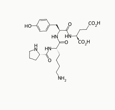 NCCCC[C@H](NC(=O)[C@@H]1CCCN1)C(=O)N[C@@H](Cc1ccc(O)cc1)C(=O)N[C@@H](CCC(=O)O)C(=O)O